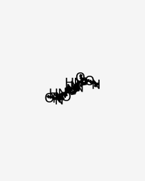 COCCn1nc(C)c(NC(=O)c2ccn3c2CCc2cnc(Nc4ccc(OCCN(C)C)cc4OC)nc2-3)c1C